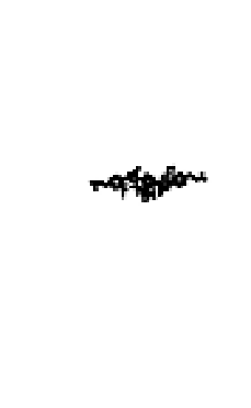 Cc1cc(-c2ccc(CCC(C)C)cc2F)sc1-c1ccc(-c2sc(-c3ccc(CCC(C)C)cc3F)cc2C)c2nsnc12